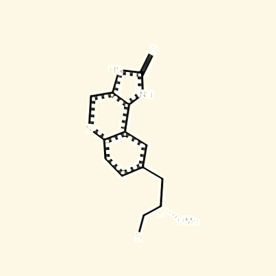 CO[C@H](CBr)Cc1ccc2ncc3[nH]c(=O)[nH]c3c2c1